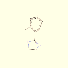 Cc1ccccc1C1=NC=C[N]1